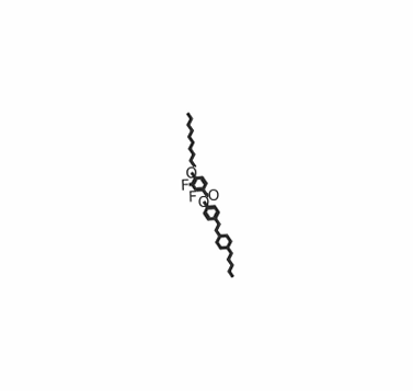 CCCCCCCCCCOc1ccc(C(=O)Oc2ccc(CCC3CCC(CCCCC)CC3)cc2)c(F)c1F